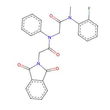 CN(C(=O)CN(C(=O)CN1C(=O)c2ccccc2C1=O)c1ccccc1)c1ccccc1F